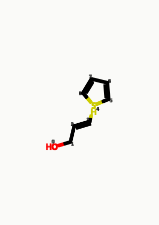 OCC=C[SH]1C=CC=C1